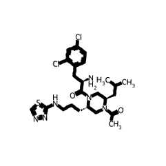 CC(=O)N1C[C@H](CCCNc2nncs2)N(C(=O)[C@H](N)Cc2ccc(Cl)cc2Cl)C[C@H]1CC(C)C